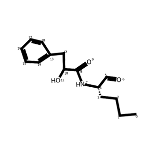 CCCC[C@@H]([C]=O)NC(=O)C(O)Cc1ccccc1